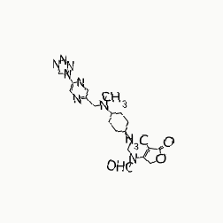 CC1=C(N(C=O)CCC2CCC(N(C)Cc3cnc(-n4cnnn4)cn3)CC2)COC1=O